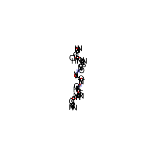 Cc1cc(Nc2ncnc3sc4c(c23)CCN(C(=O)/C=C/CN2CC(C)(C)OC(C)(CC35CC(CN(C/C=C/C(=O)N6CCc7c(sc8ncnc(Nc9ccc(Oc%10ccc%11ncnn%11c%10)c(Cl)c9)c78)C6)C3)C5)C2)C4)ccc1Oc1ccc2ncnn2c1